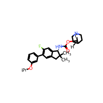 CC(C)Oc1cccc(-c2cc3c(cc2F)[C@H](NC(=O)O[C@@H]2CN4CCC2CC4)C(C)(C)C3)c1